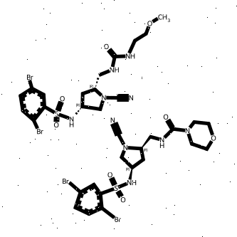 COCCNC(=O)NC[C@H]1C[C@@H](NS(=O)(=O)c2cc(Br)ccc2Br)CN1C#N.N#CN1C[C@H](NS(=O)(=O)c2cc(Br)ccc2Br)C[C@@H]1CNC(=O)N1CCOCC1